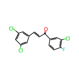 O=C(/C=C/c1cc(Cl)cc(Cl)c1)c1ccc(F)c(Cl)c1